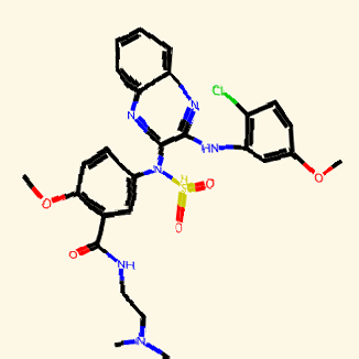 COc1ccc(Cl)c(Nc2nc3ccccc3nc2N(c2ccc(OC)c(C(=O)NCCN(C)C)c2)[SH](=O)=O)c1